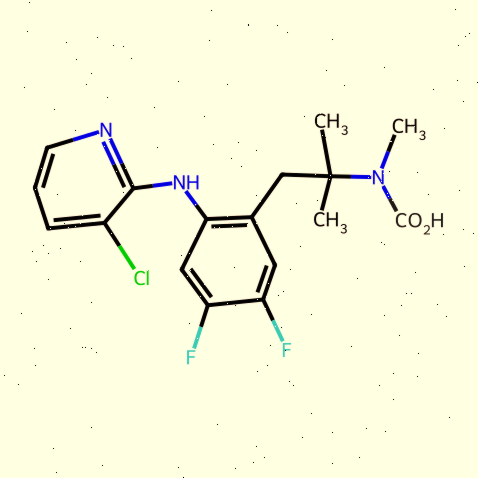 CN(C(=O)O)C(C)(C)Cc1cc(F)c(F)cc1Nc1ncccc1Cl